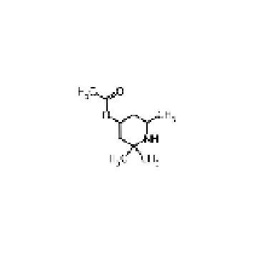 CC(=O)OC1CC(C)NC(C)(C)C1